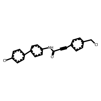 O=C(C#Cc1ccc(CCl)cc1)Nc1ccc(-c2ccc(Cl)cc2)cc1